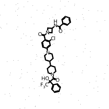 O=C(NC1CN(C(=O)c2ccc(N3CCC(C4CCN(C(=O)C(O)(c5ccccc5)C(F)(F)F)CC4)CC3)cc2Cl)C1)c1ccccc1